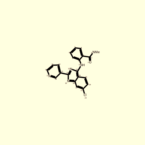 CNC(=O)c1ccccc1Nc1nc(-c2cccnc2)nc2cc(Cl)ccc12